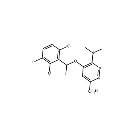 CC(Oc1cc(C(=O)O)nnc1N(C)C)c1c(Cl)ccc(F)c1Cl